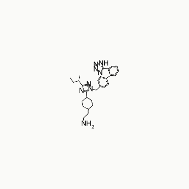 CCC(C)c1nc(C2CCC(CCN)CC2)n(Cc2ccc(-c3ccccc3-c3nnn[nH]3)cc2)n1